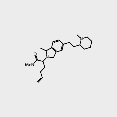 C=CCCC(C(=O)NC)N1Cc2cc(CCC3CCCCN3C)ccc2C1C